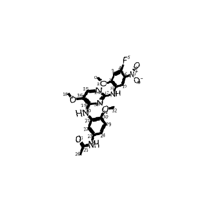 COc1cc(F)c([N+](=O)[O-])cc1Nc1ncc(OC)c(Nc2cc(NC(C)=O)ccc2OC)n1